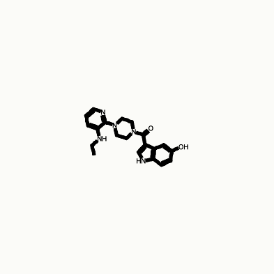 CCNc1cccnc1N1CCN(C(=O)c2c[nH]c3ccc(O)cc23)CC1